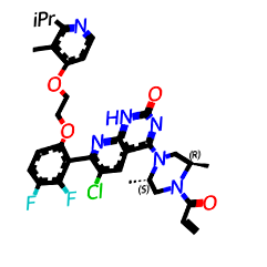 C=CC(=O)N1C[C@H](C)N(c2nc(=O)[nH]c3nc(-c4c(OCCOc5ccnc(C(C)C)c5C)ccc(F)c4F)c(Cl)cc23)C[C@H]1C